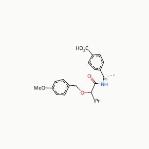 COc1ccc(COC(C(=O)N[C@@H](C)c2ccc(C(=O)O)cc2)C(C)C)cc1